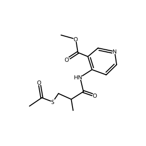 COC(=O)c1cnccc1NC(=O)C(C)CSC(C)=O